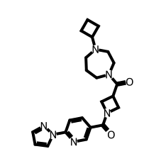 O=C(c1ccc(-n2cccn2)nc1)N1CC(C(=O)N2CCCN(C3CCC3)CC2)C1